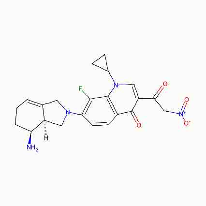 N[C@H]1CCC=C2CN(c3ccc4c(=O)c(C(=O)C[N+](=O)[O-])cn(C5CC5)c4c3F)C[C@H]21